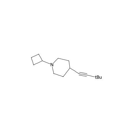 CC(C)(C)C#CC1CCN(C2CCC2)CC1